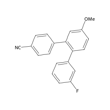 COc1ccc(-c2cccc(F)c2)c(-c2ccc(C#N)cc2)c1